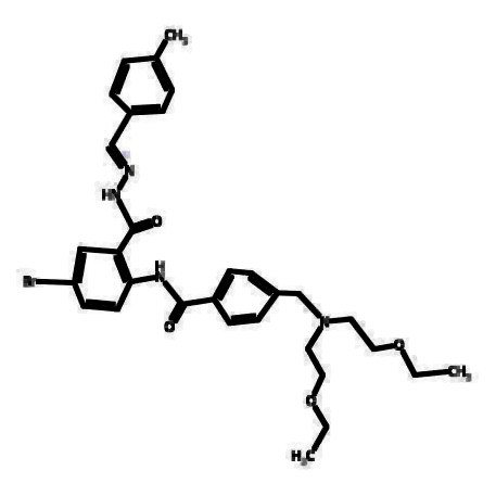 CCOCCN(CCOCC)Cc1ccc(C(=O)Nc2ccc(Br)cc2C(=O)N/N=C/c2ccc(C)cc2)cc1